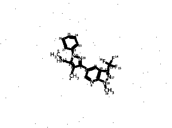 CNc1c(C)c(-c2cnc3c(c2)c(C(F)(F)F)nn3C)nn1-c1ccccc1